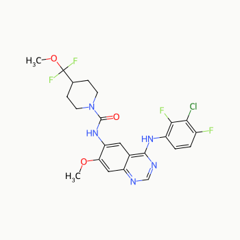 COc1cc2ncnc(Nc3ccc(F)c(Cl)c3F)c2cc1NC(=O)N1CCC(C(F)(F)OC)CC1